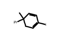 CC(C)C1(C)C=CC(I)=CC1